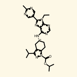 CCn1c(-c2cnc(C)nc2)nc2c(N[C@@H]3CCc4c(c(C(C)C)nn4C(=O)OC(C)C)C3)ncnc21